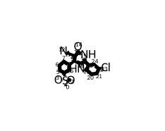 CS(=O)(=O)c1cccc(-c2c(C#N)c(=O)[nH]c3c2[nH]c2ccc(Cl)cc23)c1